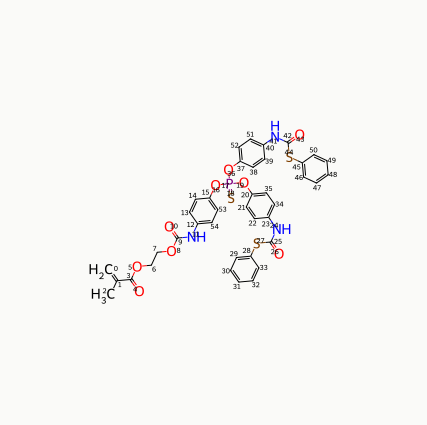 C=C(C)C(=O)OCCOC(=O)Nc1ccc(OP(=S)(Oc2ccc(NC(=O)Sc3ccccc3)cc2)Oc2ccc(NC(=O)Sc3ccccc3)cc2)cc1